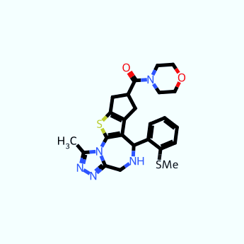 CSc1ccccc1C1NCc2nnc(C)n2-c2sc3c(c21)CC(C(=O)N1CCOCC1)C3